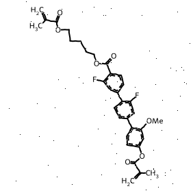 C=C(C)C(=O)OCCCCCOC(=O)c1ccc(-c2ccc(-c3ccc(OC(=O)C(=C)C)cc3OC)cc2F)cc1F